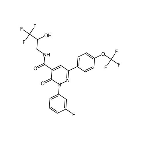 O=C(NCC(O)C(F)(F)F)c1cc(-c2ccc(OC(F)(F)F)cc2)nn(-c2cccc(F)c2)c1=O